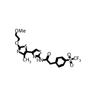 COCCOc1nc(C)c(-c2csc(NC(=O)Cc3ccc(S(=O)(=O)C(F)(F)F)cc3)n2)s1